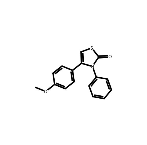 COc1ccc(-c2csc(=O)n2-c2ccccc2)cc1